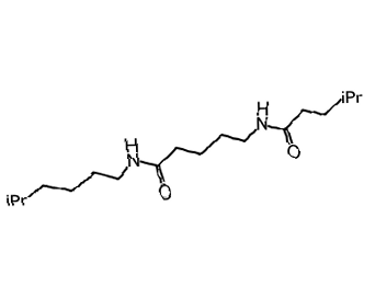 CC(C)CCCCNC(=O)CCCCNC(=O)CCC(C)C